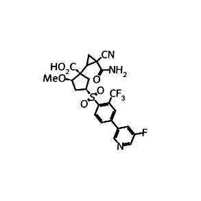 CO[C@@H]1C[C@H](S(=O)(=O)c2ccc(-c3cncc(F)c3)cc2C(F)(F)F)C[C@@]1(C(=O)O)C1CC1(C#N)C(N)=O